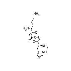 NCCCC[C@H](N)C(=O)OP(=O)(O)OC(=O)[C@@H](N)Cc1cnc[nH]1